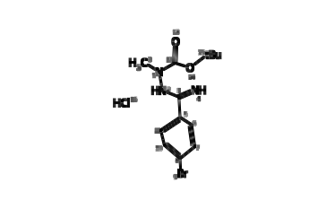 CN(NC(=N)c1ccc(Br)cc1)C(=O)OC(C)(C)C.Cl